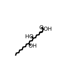 CCCCCCCCC(O)CCC(O)CCCC=CC(=O)O